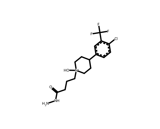 NNC(=O)CCC[N+]1(O)CCC(c2ccc(Cl)c(C(F)(F)F)c2)CC1